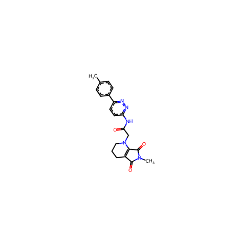 Cc1ccc(-c2ccc(NC(=O)CN3CCCC4=C3C(=O)N(C)C4=O)nn2)cc1